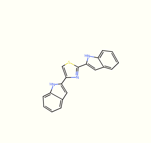 c1ccc2[nH]c(-c3csc(-c4cc5ccccc5[nH]4)n3)cc2c1